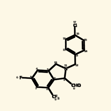 O=CC1c2c(cc(F)cc2C(F)(F)F)CN1Cc1ccc(Cl)cc1